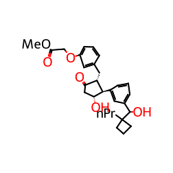 CCCC1([C@H](O)c2cccc([C@H]3[C@H](O)CC(=O)[C@@H]3Cc3cccc(OCC(=O)OC)c3)c2)CCC1